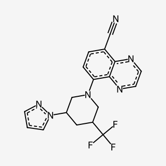 N#Cc1ccc(N2CC(n3cccn3)CC(C(F)(F)F)C2)c2nccnc12